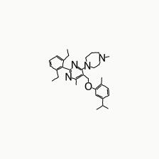 CCc1cccc(CC)c1-c1nc(C)c(COc2cc(C(C)C)ccc2C)c(N2CCCN(C)CC2)n1